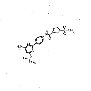 C[S+]([O-])Cc1cc(N)nc(-c2ccc(NC(=O)N3CCC(S(C)(=O)=O)C3)cc2)n1